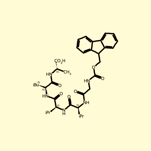 CC[C@H](C)[C@H](NC(=O)[C@@H](NC(=O)[C@@H](NC(=O)CNC(=O)OCC1c2ccccc2-c2ccccc21)C(C)C)C(C)C)C(=O)N[C@@H](C)C(=O)O